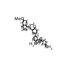 COc1ccc2c(N3CCOc4ccc(-c5cnc(N)c(S(=O)(=O)N6CC[C@H](N)C6)c5)cc4C3)ncnc2c1